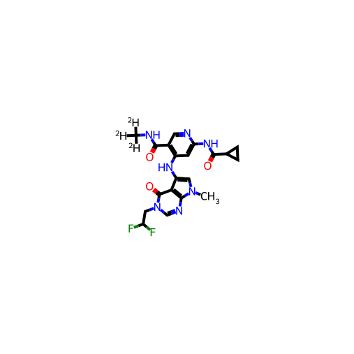 [2H]C([2H])([2H])NC(=O)c1cnc(NC(=O)C2CC2)cc1Nc1cn(C)c2ncn(CC(F)F)c(=O)c12